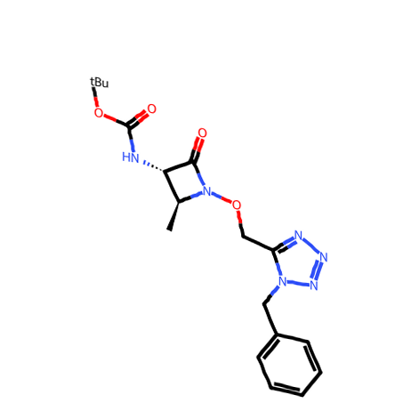 C[C@H]1[C@H](NC(=O)OC(C)(C)C)C(=O)N1OCc1nnnn1Cc1ccccc1